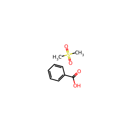 CS(C)(=O)=O.O=C(O)c1ccccc1